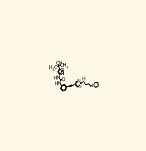 CC(C)(C)c1cc(NC(=O)Nc2cccc(C#Cc3cnc(NCCCN4CCCC4)nc3)c2)no1